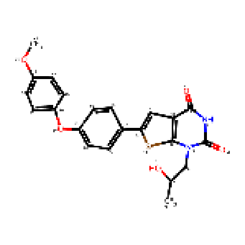 O=c1[nH]c(=O)n(CC(O)C(F)(F)F)c2sc(-c3ccc(Oc4ccc(OC(F)(F)F)cc4)cc3)cc12